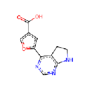 O=C(O)c1coc(-c2ncnc3c2CCN3)c1